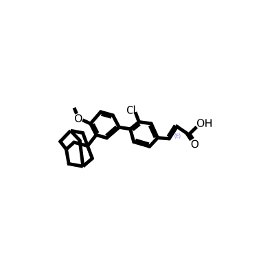 COc1ccc(-c2ccc(/C=C/C(=O)O)cc2Cl)cc1C12CC3CC(CC(C3)C1)C2